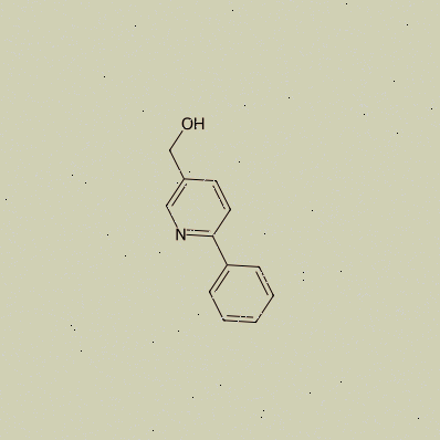 OCc1ccc(-c2ccccc2)nc1